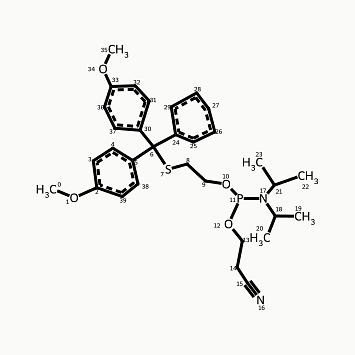 COc1ccc(C(SCCOP(OCCC#N)N(C(C)C)C(C)C)(c2ccccc2)c2ccc(OC)cc2)cc1